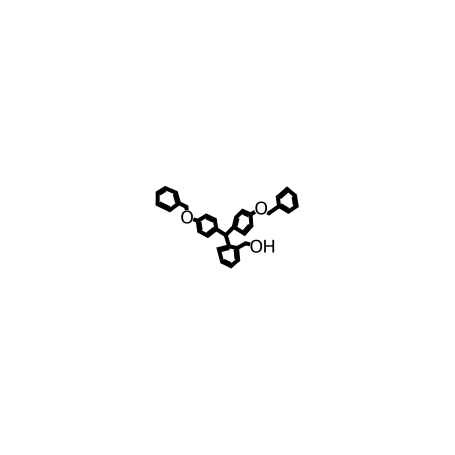 OCc1ccccc1C(c1ccc(OCc2ccccc2)cc1)c1ccc(OCc2ccccc2)cc1